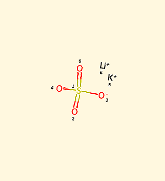 O=S(=O)([O-])[O-].[K+].[Li+]